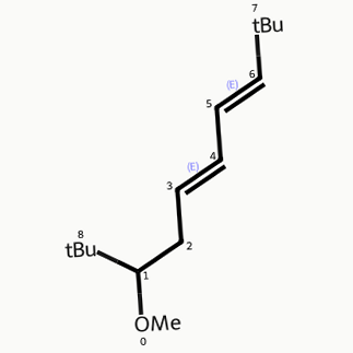 COC(C/C=C/C=C/C(C)(C)C)C(C)(C)C